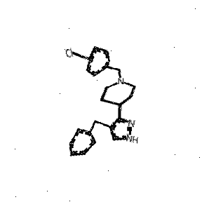 Clc1ccc(CN2CCC(c3n[nH]cc3Cc3ccccc3)CC2)cc1